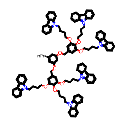 CCCc1cc(OCc2cc(OCCCCn3c4ccccc4c4ccccc43)c(OCCCCn3c4ccccc4c4ccccc43)c(OCCCCn3c4ccccc4c4ccccc43)c2)cc(OCc2cc(OCCCCn3c4ccccc4c4ccccc43)c(OCCCCn3c4ccccc4c4ccccc43)c(OCCCCn3c4ccccc4c4ccccc43)c2)c1